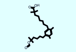 Cc1cc(C)c(CCCCC(C)(C)OC=O)cc1CCCCCCC(C)(C)C(=O)O